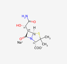 CC1(C)S[C@@H]2[C@H]([C@H](O)C(N)=O)C(=O)N2[C@H]1C(=O)[O-].[Na+]